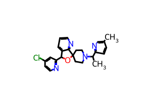 Cc1ccc(C(C)N2CCC3(CC2)OC(c2cc(Cl)ccn2)c2cccnc23)nc1